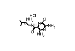 CC(C)[C@H](N)CNC(=O)c1nc(Cl)c(N)nc1N.Cl